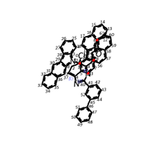 CC1C/C=C(c2ccc3oc4c5ccccc5ccc4c3c2-n2c3ccccc3c3cc4ccccc4cc32)/N=C(c2cccc(-c3ccccc3)c2)\N=C/1c1ccc2ccccc2c1